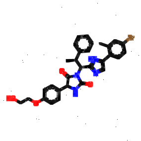 Cc1cc(Br)ccc1-c1cnc([C@H]([C@@H](C)c2ccccc2)N2C(=O)NC(c3ccc(OCCO)cc3)C2=O)[nH]1